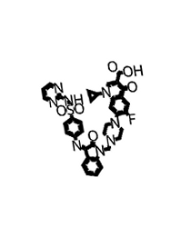 O=C(O)c1cn(C2CC2)c2cc(N3CCN(CN4C(=O)C(=Nc5ccc(S(=O)(=O)Nc6ncccn6)cc5)c5ccccc54)CC3)c(F)cc2c1=O